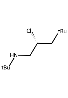 CC(C)(C)C[C@@H](Cl)CNC(C)(C)C